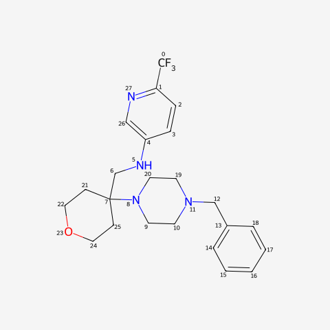 FC(F)(F)c1ccc(NCC2(N3CCN(Cc4ccccc4)CC3)CCOCC2)cn1